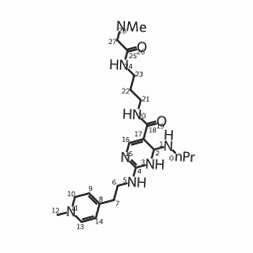 CCCNC1NC(NCCC2=CCN(C)C=C2)=NC=C1C(=O)NCCCNC(=O)CNC